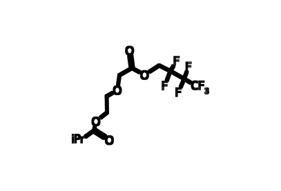 CC(C)C(=O)OCCOCC(=O)OCC(F)(F)C(F)(F)C(F)(F)F